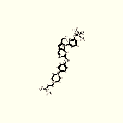 CCc1cc2cnc(Nc3ccc(N4CCN(CCN(C)C)CC4)cc3)nc2n1-c1cccc(N=S(C)(C)=O)n1